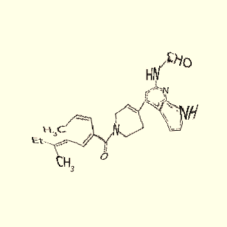 C\C=C/C(=C\C=C(/C)CC)C(=O)N1CC=C(c2cc(NC=O)nc3[nH]ccc23)CC1